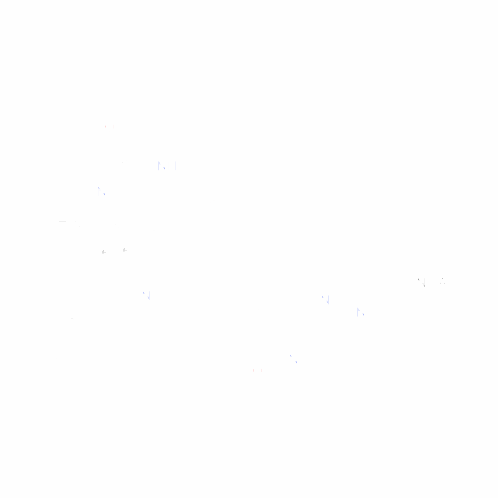 CC(=O)Nc1ccn(-c2noc3c(F)c4c(cc23)CC2(C(=O)NC(=O)NC2=O)[C@@H]2[C@@H](C)O[C@@H](C)CN42)n1